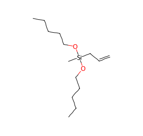 C=CC[Si](C)(OCCCCC)OCCCCC